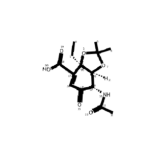 CC[C@]12OC(C)(C)O[C@H]1[C@H](NC(C)=O)C(=O)C=C2C(=O)O